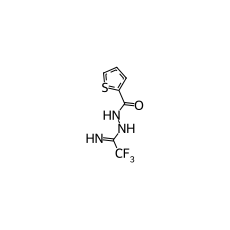 N=C(NNC(=O)c1cccs1)C(F)(F)F